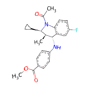 COC(=O)c1ccc(N[C@H]2c3cc(F)ccc3N(C(C)=O)[C@H](C3CC3)[C@@H]2C)cc1